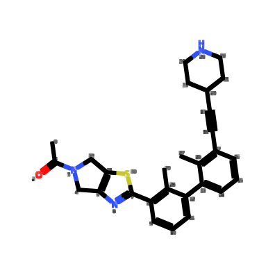 CC(=O)N1Cc2nc(-c3cccc(-c4cccc(C#CC5CCNCC5)c4C)c3C)sc2C1